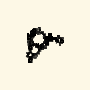 CO[C@@]1(CNCCN2CCOCC2)/C=C/C[C@H](C)[C@@H](C)S(=O)(=O)NC(=O)c2ccc3c(c2)N(CCCCC2(C)C=C(Cl)C=CC2CO3)C[C@@H]2CC[C@H]21